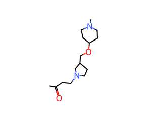 CC(=O)CCN1CCC(COC2CCN(C)CC2)C1